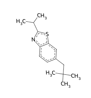 CC(C)c1nc2ccc(CC(C)(C)C)cc2s1